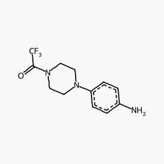 Nc1ccc(N2CCN(C(=O)C(F)(F)F)CC2)cc1